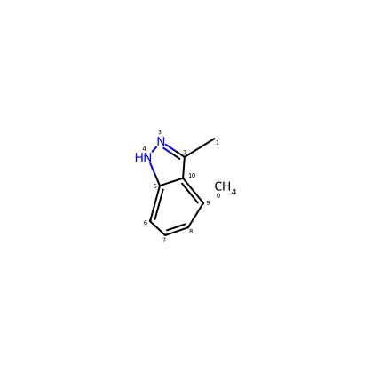 C.Cc1n[nH]c2ccccc12